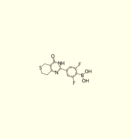 O=c1[nH]c(-c2cc(F)c(B(O)O)c(F)c2)nc2c1CSCC2